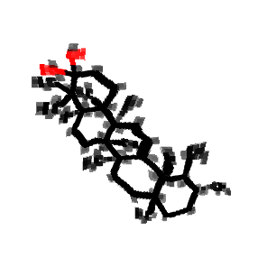 C[C@H]1[C@H](C)CC[C@]2(C)CC[C@]3(C)C(=CC[C@@H]4[C@@]5(C)CCC(O)(O)C(C)(C)[C@@H]5CC[C@]43C)[C@H]12